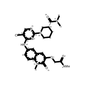 CNC(=O)COc1cc2cc(Nc3nc(N4CCC[C@@H](C(=O)N(C)C)C4)ncc3Cl)ccc2n(C)c1=O